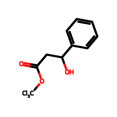 O=C(CC(O)c1ccccc1)OC(Cl)(Cl)Cl